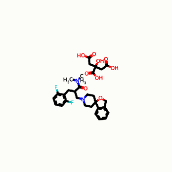 CN(C)C(=O)C(Cc1c(F)cccc1F)CN1CCC2(CC1)OCc1ccccc12.O=C(O)CC(O)(CC(=O)O)C(=O)O